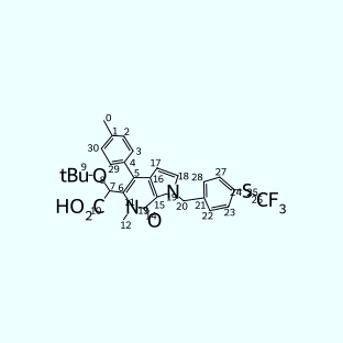 Cc1ccc(-c2c(C(OC(C)(C)C)C(=O)O)n(C)c(=O)c3c2ccn3Cc2ccc(SC(F)(F)F)cc2)cc1